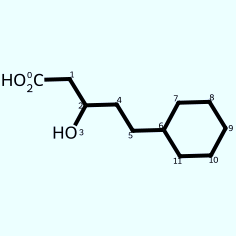 O=C(O)CC(O)CCC1CCCCC1